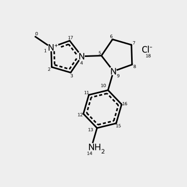 C[n+]1ccn(C2CCCN2c2ccc(N)cc2)c1.[Cl-]